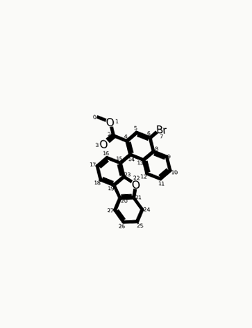 COC(=O)c1cc(Br)c2ccccc2c1-c1cccc2c3c(oc12)CCC=C3